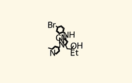 CCC(O)Cc1cc(Nc2ccc(Br)cc2C#N)nn1-c1ccnc(C)c1